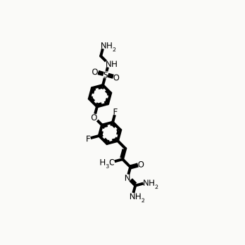 C/C(=C\c1cc(F)c(Oc2ccc(S(=O)(=O)NCN)cc2)c(F)c1)C(=O)N=C(N)N